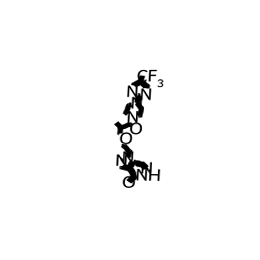 CC(COCCn1ncc2c(=O)[nH]ncc21)C(=O)N1CCN(c2ncc(C(F)(F)F)cn2)CC1